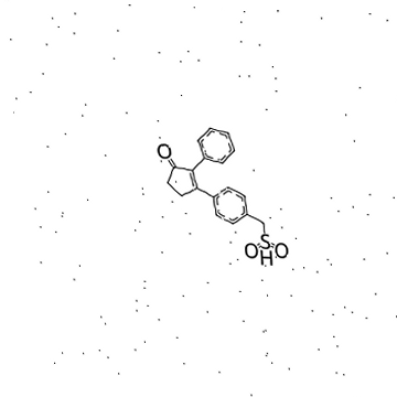 O=C1CCC(c2ccc(C[SH](=O)=O)cc2)=C1c1ccccc1